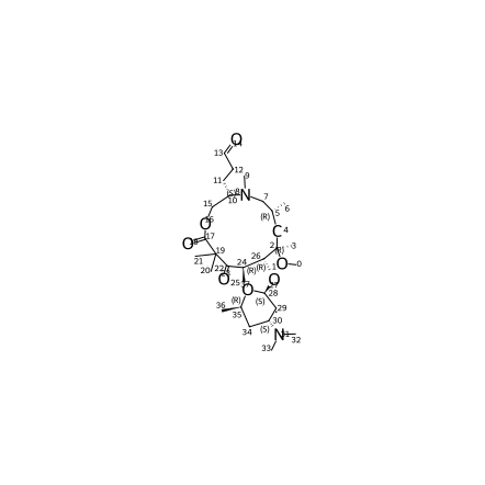 CO[C@]1(C)C[C@@H](C)CN(C)[C@@H](CCC=O)COC(=O)C(C)(C)C(=O)[C@H](C)[C@H]1O[C@H]1[CH][C@H](N(C)C)C[C@@H](C)O1